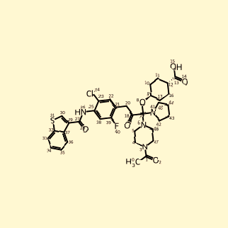 CC(=O)N1CCN(C(O[C@H]2CC[C@H](C(=O)O)CC2)(C(=O)Cc2cc(Cl)c(NC(=O)c3csc4ccccc34)cc2F)N2CCCC2)CC1